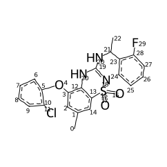 Cc1cc(Oc2ccccc2Cl)c2c(c1)S(=O)(=O)N=C(NC(C)c1ccccc1F)N2